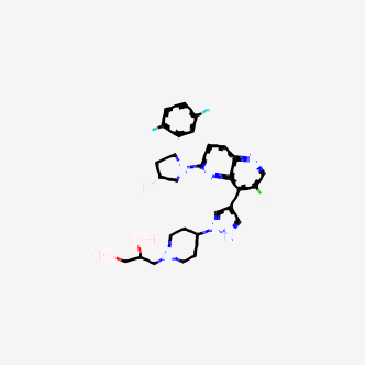 OCC(O)CN1CCC(n2cc(-c3c(Cl)cnc4ccc(N5C[C@@H](F)C[C@@H]5c5cc(F)ccc5F)nc34)cn2)CC1